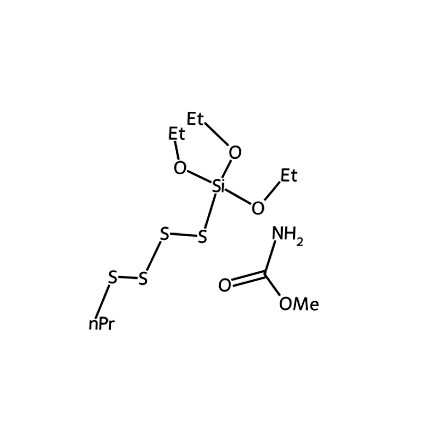 CCCSSSS[Si](OCC)(OCC)OCC.COC(N)=O